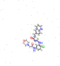 O=C(CN1CCOCC1)Nc1ccc(Cl)c(NC2=NC(=O)/C(=C/c3ccc4ncccc4c3)S2)c1